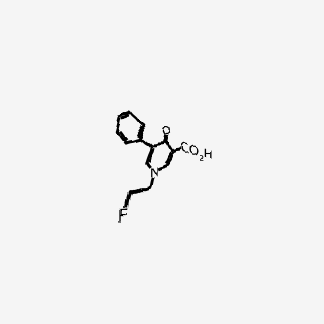 O=C(O)c1cn(CCF)cc(-c2ccccc2)c1=O